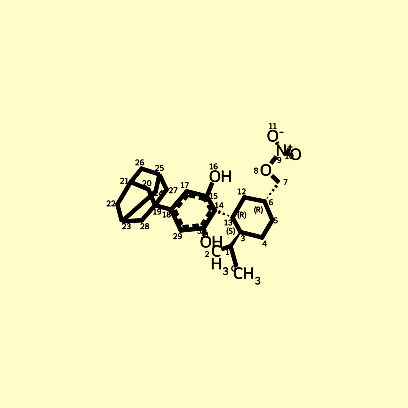 CC(C)[C@@H]1CC[C@@H](CO[N+](=O)[O-])C[C@H]1c1c(O)cc(C23CC4CC(CC(C4)C2)C3)cc1O